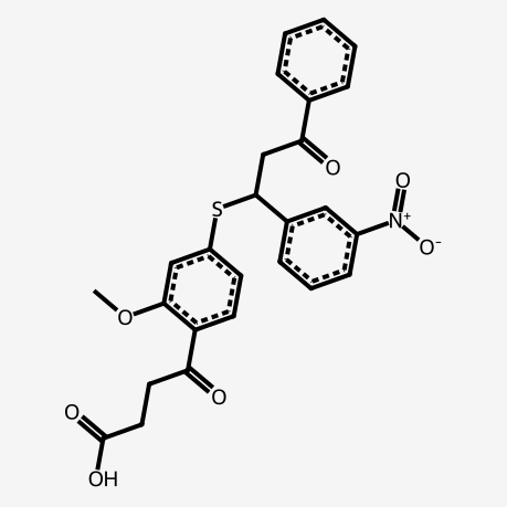 COc1cc(SC(CC(=O)c2ccccc2)c2cccc([N+](=O)[O-])c2)ccc1C(=O)CCC(=O)O